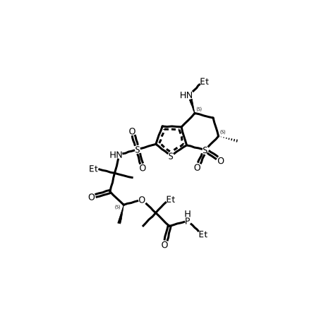 CCN[C@H]1C[C@H](C)S(=O)(=O)c2sc(S(=O)(=O)NC(C)(CC)C(=O)[C@H](C)OC(C)(CC)C(=O)PCC)cc21